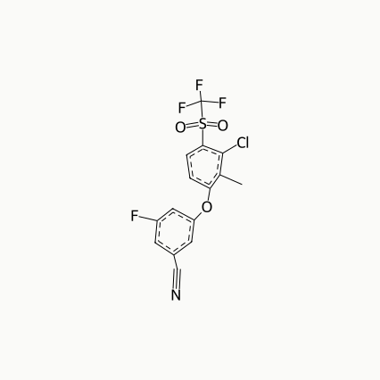 Cc1c(Oc2cc(F)cc(C#N)c2)ccc(S(=O)(=O)C(F)(F)F)c1Cl